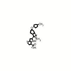 Cc1ccc(Oc2ccc3c(-c4cc5nccc(C(=O)O)c5[nH]4)n(C)nc3c2)cc1